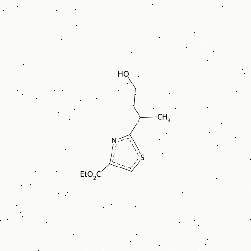 CCOC(=O)c1csc(C(C)CCO)n1